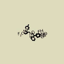 CC1CCN(c2nc(C(F)(F)F)ccc2CNC(=O)C(c2ccc(NS(C)(=O)=O)c(F)c2)C2CCCCC2)CC1